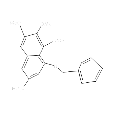 CNc1c(OC)c(OC)cc2cc(C(=O)O)cc(NCc3ccccc3)c12